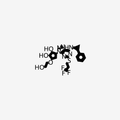 OCCO[C@@H]1C[C@H](n2nnc3c(NC4CC4c4ccccc4)nc(SCCC(F)(F)F)nc32)[C@@H](O)[C@H]1O